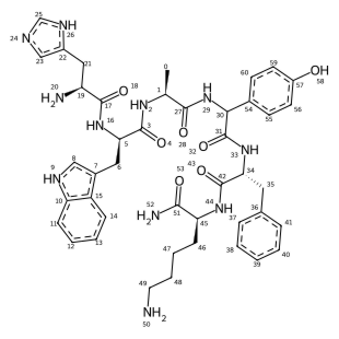 C[C@H](NC(=O)[C@@H](Cc1c[nH]c2ccccc12)NC(=O)[C@@H](N)Cc1cnc[nH]1)C(=O)NC(C(=O)N[C@H](Cc1ccccc1)C(=O)N[C@@H](CCCCN)C(N)=O)c1ccc(O)cc1